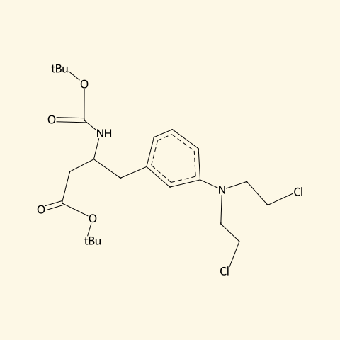 CC(C)(C)OC(=O)CC(Cc1cccc(N(CCCl)CCCl)c1)NC(=O)OC(C)(C)C